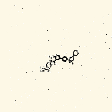 CC(C)(O)[C@@H]1CC[C@@H](NC(=O)c2cc(-c3ccc([C@@]45C[C@@H]4CN(C4CCOCC4)C5)cc3)cnc2N)CO1